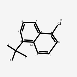 CC(C)(C)c1cccc2c(Cl)cccc12